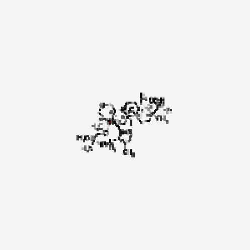 Cc1cnn([C@@H]2C[C@@]34COC[C@@](C)([C@@H]3CC[C@H]3C4=CC[C@@]4(C)[C@H](C(=O)O)[C@@](C)([C@H](C)C(C)C)CC[C@]34C)[C@H]2OC[C@](C)(N)C(C)C)c1C